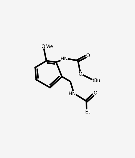 CCC(=O)NCc1cccc(OC)c1NC(=O)OC(C)(C)C